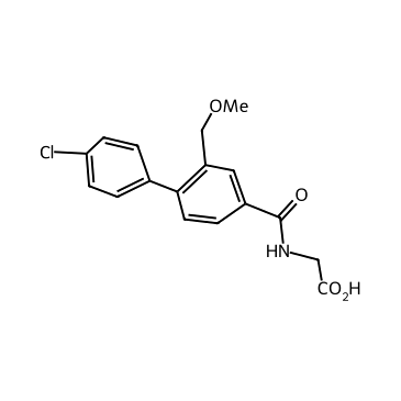 COCc1cc(C(=O)NCC(=O)O)ccc1-c1ccc(Cl)cc1